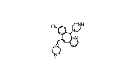 CN1CCN(CC2=Cc3cccnc3C(N3CCNCC3)c3ccc(Cl)cc32)CC1